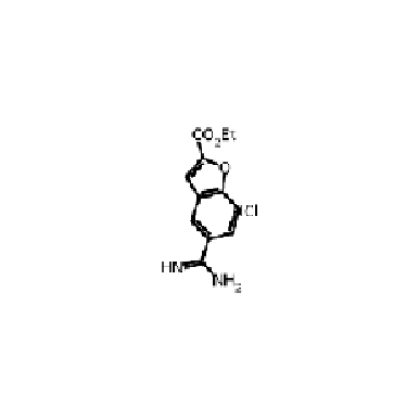 CCOC(=O)c1cc2cc(C(=N)N)ccc2o1.Cl